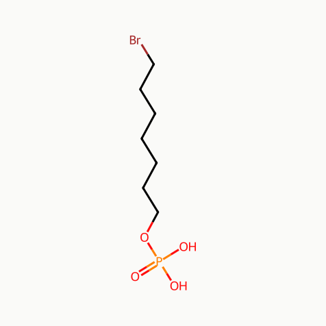 O=P(O)(O)OCCCCCCCBr